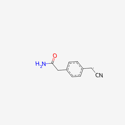 N#C[CH]c1ccc(CC(N)=O)cc1